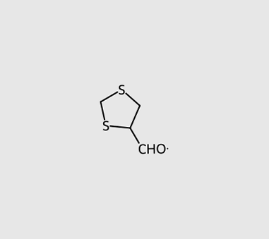 O=[C]C1CSCS1